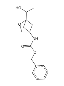 CC(O)C12CC(NC(=O)OCc3ccccc3)(CO1)C2